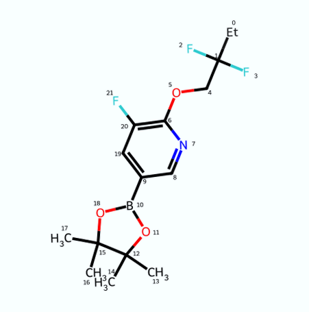 CCC(F)(F)COc1ncc(B2OC(C)(C)C(C)(C)O2)cc1F